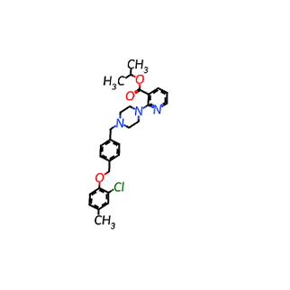 Cc1ccc(OCc2ccc(CN3CCN(c4ncccc4C(=O)OC(C)C)CC3)cc2)c(Cl)c1